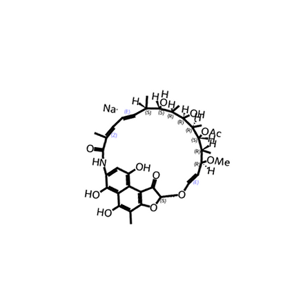 CO[C@H]1/C=C/O[C@@]2(C)Oc3c(C)c(O)c4c(O)c(cc(O)c4c3C2=O)NC(=O)/C(C)=C\C=C\[C@H](C)[C@H](O)[C@@H](C)[C@@H](O)[C@@H](C)[C@H](OC(C)=O)[C@@H]1C.[Na]